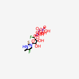 C=C1NC(=S)N(C2O[C@](CF)(OP(=O)(O)OP(=O)(O)OP(=O)(O)O)C(O)C2O)C=C1F